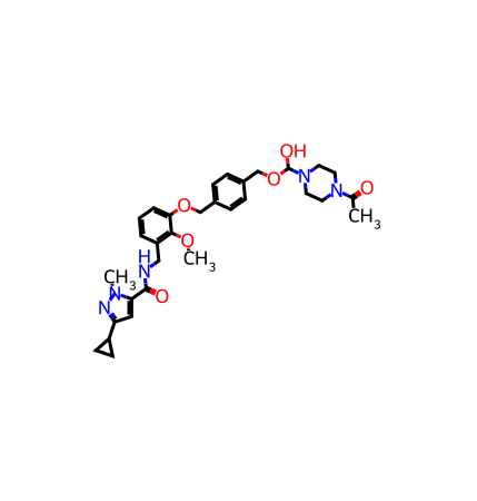 COc1c(CNC(=O)c2cc(C3CC3)nn2C)cccc1OCc1ccc(COC(O)N2CCN(C(C)=O)CC2)cc1